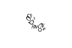 Fc1cccc2c(NCCc3ccc(OC(F)(F)F)cc3)ccnc12